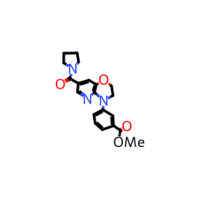 COC(=O)c1cccc(N2CCOc3cc(C(=O)N4CCCC4)cnc32)c1